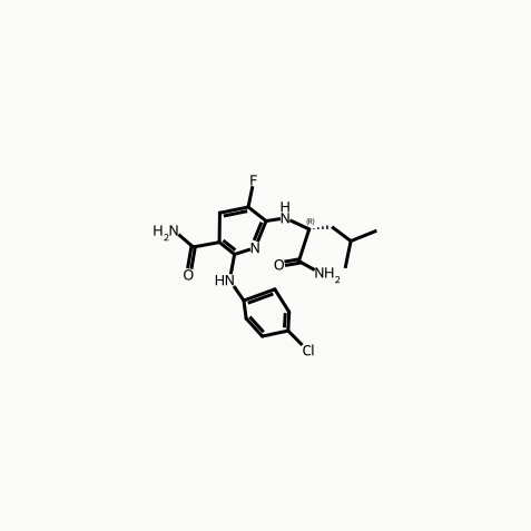 CC(C)C[C@@H](Nc1nc(Nc2ccc(Cl)cc2)c(C(N)=O)cc1F)C(N)=O